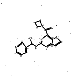 CC(Nc1nc(C(=O)N2CCC2)c2sccc2n1)c1cccnc1